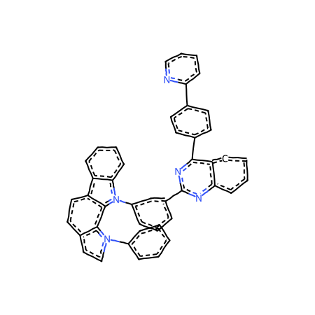 c1ccc(-n2ccc3ccc4c5ccccc5n(-c5cccc(-c6nc(-c7ccc(-c8ccccn8)cc7)c7ccccc7n6)c5)c4c32)cc1